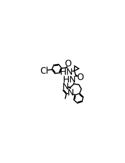 Cc1cnc2n1-c1ccccc1CCC2NC(=O)C1(NC(=O)c2ccc(Cl)cc2)CC1